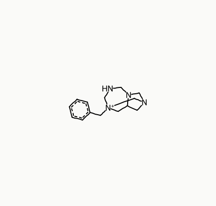 c1ccc(C[N+]23CNCN4CN(CC4C2)C3)cc1